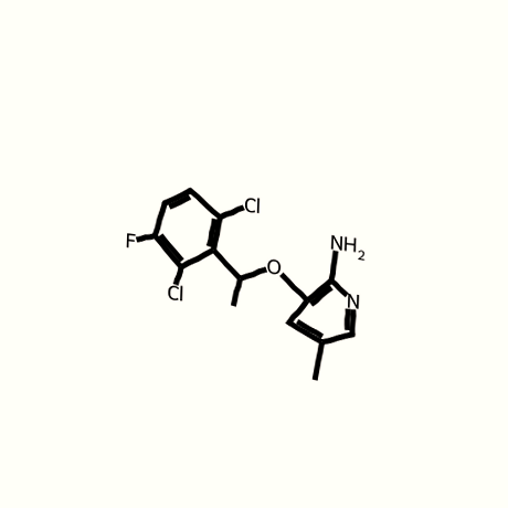 Cc1cnc(N)c(OC(C)c2c(Cl)ccc(F)c2Cl)c1